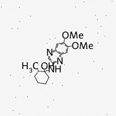 COc1cc2ncc(NC3(O)CCCCC3C)nc2cc1OC